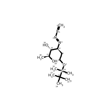 C=BN=N[C@@H](CCO[Si](C)(C)C(C)(C)C)[C@@H](O)[C@H](C)O